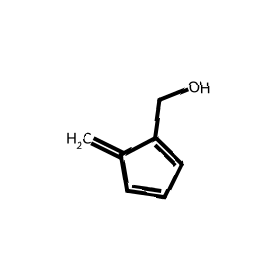 C=C1C=CC=C1CO